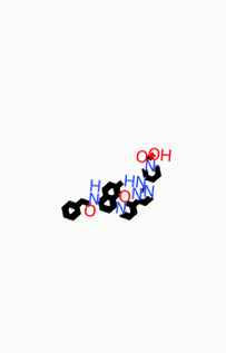 Cc1ccc2c(NC(=O)Cc3ccccc3)cccc2c1Oc1ncccc1-c1ccnc(NC2CCCN(C(=O)O)C2)n1